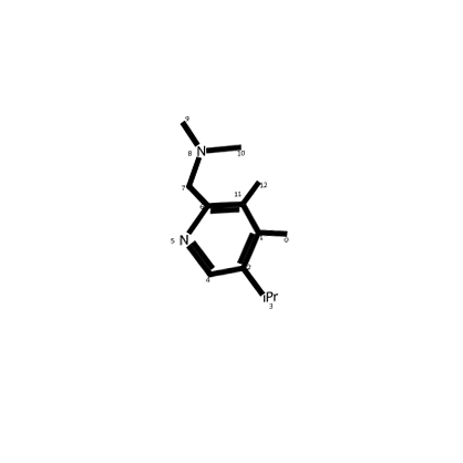 Cc1c(C(C)C)cnc(CN(C)C)c1C